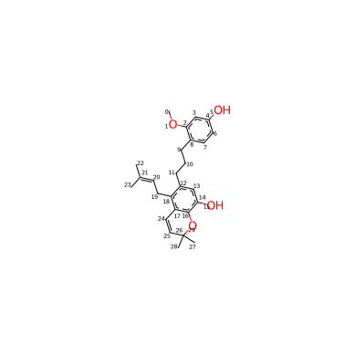 COc1cc(O)ccc1CCCc1cc(O)c2c(c1CC=C(C)C)C=CC(C)(C)O2